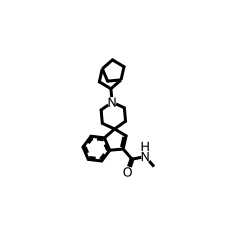 CNC(=O)C1=CC2(CCN(C3CC4CCC3C4)CC2)c2ccccc21